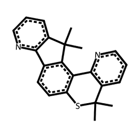 CC1(C)Sc2ccc3c(c2-c2ncccc21)C(C)(C)c1cccnc1-3